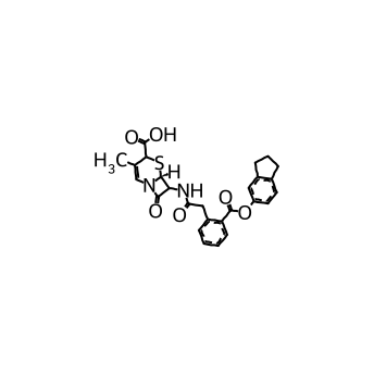 CC1=CN2C(=O)C(NC(=O)Cc3ccccc3C(=O)Oc3ccc4c(c3)CCC4)[C@H]2SC1C(=O)O